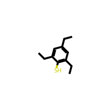 CCc1cc(CC)c(S)c(CC)c1